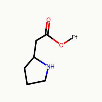 CCOC(=O)CC1CCCN1